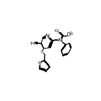 N#Cc1cnc(N(C(=O)O)c2ccccc2)cc1OCc1cccs1